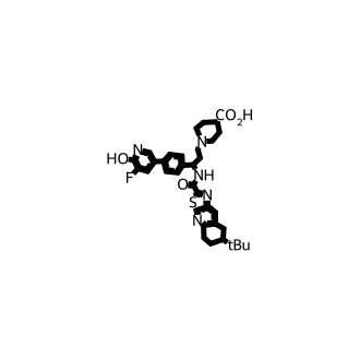 CC(C)(C)C1CCc2nc3sc(C(=O)NC(CCN4CCC(C(=O)O)CC4)c4ccc(-c5cnc(O)c(F)c5)cc4)nc3cc2C1